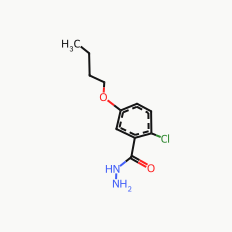 CCCCOc1ccc(Cl)c(C(=O)NN)c1